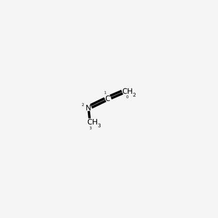 C=C=NC